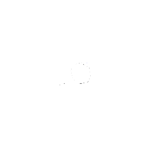 CC[CH]C1CC/C=C\CCC1